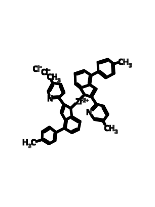 Cc1ccc(-c2cccc3c2C=C(c2ccc(C)cn2)[CH]3[Zr+2][CH]2C(c3ccc(C)cn3)=Cc3c(-c4ccc(C)cc4)cccc32)cc1.[Cl-].[Cl-]